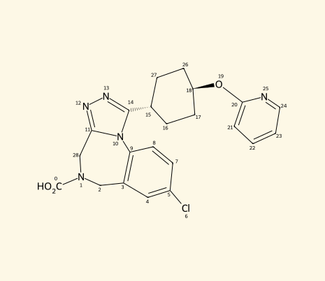 O=C(O)N1Cc2cc(Cl)ccc2-n2c(nnc2[C@H]2CC[C@H](Oc3ccccn3)CC2)C1